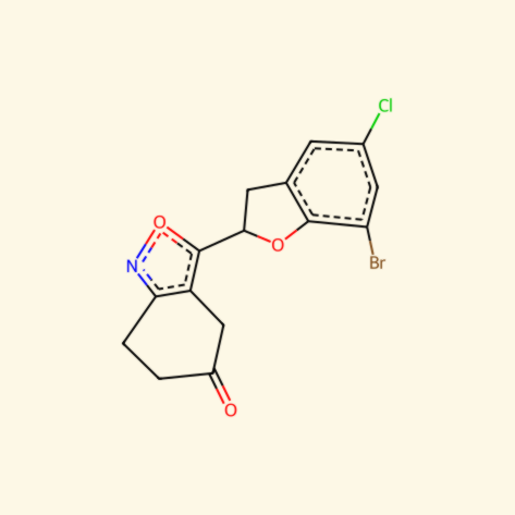 O=C1CCc2noc(C3Cc4cc(Cl)cc(Br)c4O3)c2C1